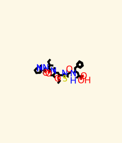 CCOC(CC(C(C)C)N(C)C(=O)C(NC(=O)[C@H]1CCCCN1C)C(C)CC)c1nc(C(=O)NC(Cc2ccccc2)CC(C)C(=O)O)cs1